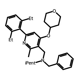 CCCC(C)N(Cc1ccccc1)Cc1c(OC2CCOCC2)cc(-c2c(CC)cccc2CC)nc1C